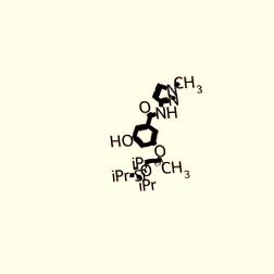 CC(C)[Si](OC[C@H](C)Oc1cc(O)cc(C(=O)Nc2ccn(C)n2)c1)(C(C)C)C(C)C